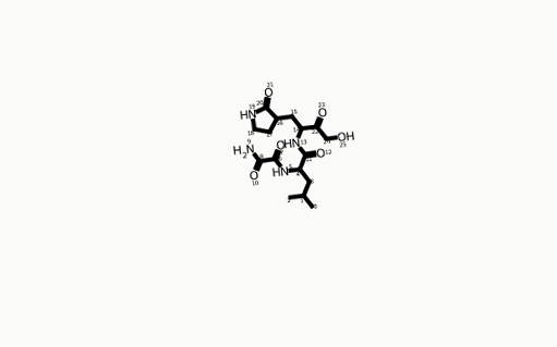 CC(C)CC(NC(=O)C(N)=O)C(=O)NC(CC1CCNC1=O)C(=O)CO